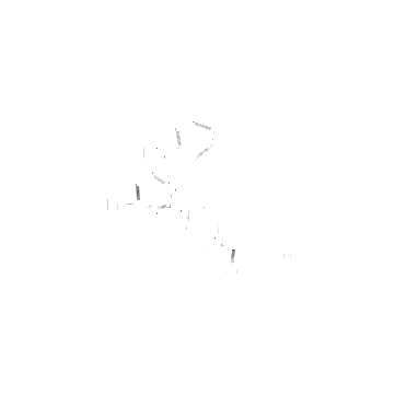 CC(C)c1cc(Nc2ccc(F)cc2)nc(N2CCN(C(=O)OC(C)(C)C)CC2)n1